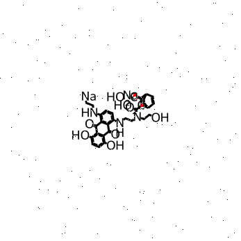 O=C1c2c(O)ccc(O)c2C(=O)c2c(NCCN(CCO)C(=O)C3C4C=CC([CH]([Na])C4C(=O)O)C3C(=O)O)ccc(NC[CH2][Na])c21